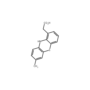 Cc1ccc2c(c1)Sc1cccc(CC(=O)O)c1N2